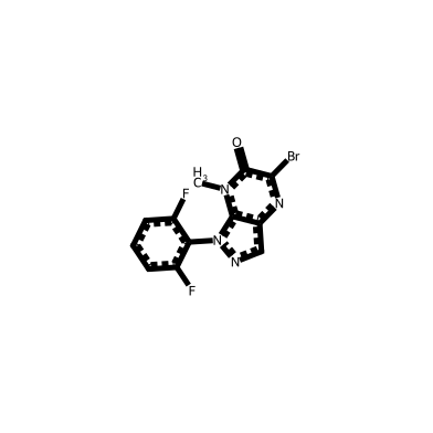 Cn1c(=O)c(Br)nc2cnn(-c3c(F)cccc3F)c21